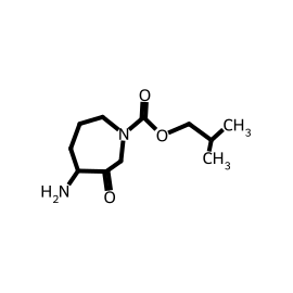 CC(C)COC(=O)N1CCCC(N)C(=O)C1